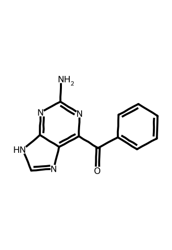 Nc1nc(C(=O)c2ccccc2)c2nc[nH]c2n1